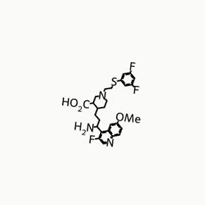 COc1ccc2ncc(F)c(C(N)CCC3CCN(CCSc4cc(F)cc(F)c4)CC3C(=O)O)c2c1